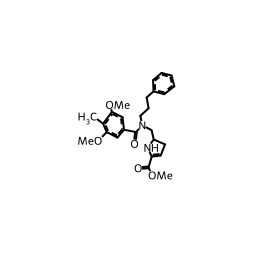 COC(=O)C1=CCC(CN(CCCc2ccccc2)C(=O)c2cc(OC)c(C)c(OC)c2)N1